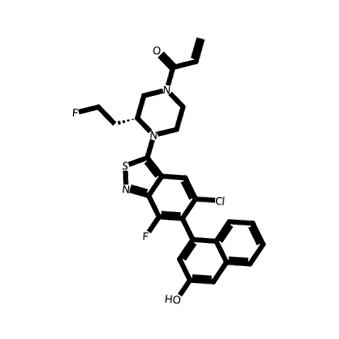 C=CC(=O)N1CCN(c2snc3c(F)c(-c4cc(O)cc5ccccc45)c(Cl)cc23)[C@H](CCF)C1